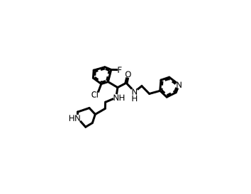 O=C(NCCc1ccncc1)C(NCCC1CCNCC1)c1c(F)cccc1Cl